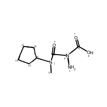 CN(C(=O)N(N)C(=O)O)C1CCCC1